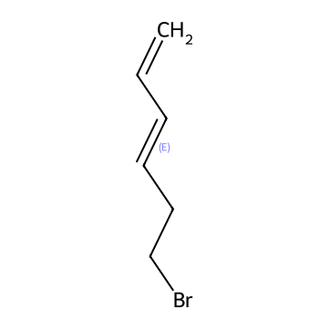 C=C/C=C/CCBr